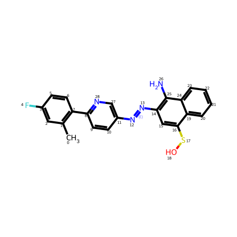 Cc1cc(F)ccc1-c1ccc(/N=N/c2cc(SO)c3ccccc3c2N)cn1